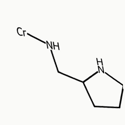 [Cr][NH]CC1CCCN1